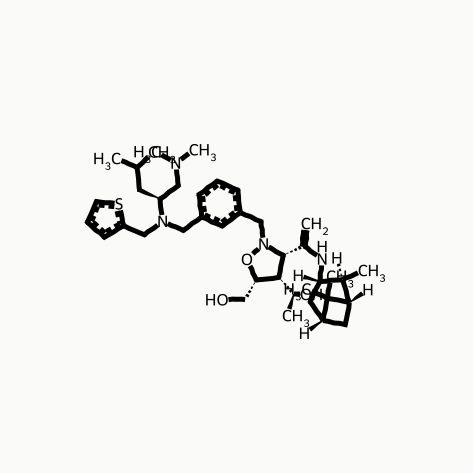 C=C(N[C@H]1C[C@H]2C[C@@H]([C@@H]1C)C2(C)C)[C@@H]1[C@H]([C@H](C)O)[C@H](CO)ON1Cc1cccc(CN(Cc2cccs2)[C@@H](CC(C)C)CN(C)C)c1